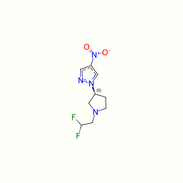 O=[N+]([O-])c1cnn([C@H]2CCN(CC(F)F)C2)c1